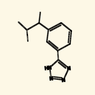 CC(C)C(C)c1cccc(-c2nnn[nH]2)c1